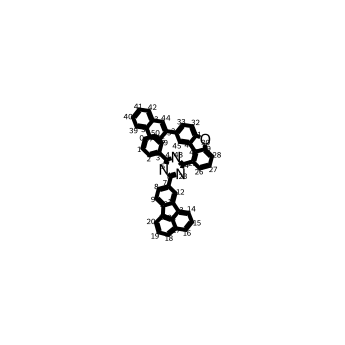 c1ccc(-c2nc(-c3ccc4c(c3)-c3cccc5cccc-4c35)nc(-c3cccc4oc5ccc(-c6ccc7ccccc7c6)cc5c34)n2)cc1